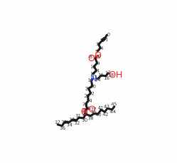 CC#CCCCOC(=O)CCCCN(CCCCO)CCCCCCCC(=O)OC(CC/C=C/C=C/CC)CCCCCCCC